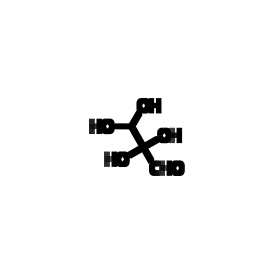 O=CC(O)(O)C(O)O